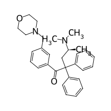 C[C@@H](CC(C(=O)c1cccc(CN2CCOCC2)c1)(c1ccccc1)c1ccccc1)N(C)C